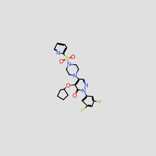 O=c1c(OC2CCCC2)c(N2CCN(S(=O)(=O)c3ccccn3)CC2)cnn1-c1cc(F)cc(F)c1